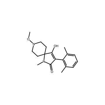 CON1CCC2(CC1)C(O)=C(c1c(C)cccc1C)C(=O)N2C